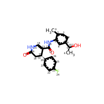 Cc1ccc([C@H](C)O)cc1NC(=O)C1=CNC(=O)C[C@H]1c1ccc(F)cc1